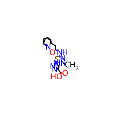 CN/N=C(/NC(=O)Cc1ccccn1)Sn1cc(C(=O)O)nn1